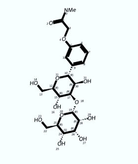 CNC(=O)COc1cccc([C@H]2O[C@H](CO)[C@@H](O)[C@H](O[C@H]3O[C@H](CO)[C@@H](O)[C@@H](O)[C@H]3O)[C@@H]2O)c1